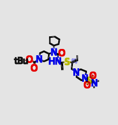 C=C(NC(=O)N(C1CCCCC1)C1CCN(C(=O)OC(C)(C)C)CC1)S/C(=C\C)CN1CCN(S(=O)(=O)N(C)C)CC1